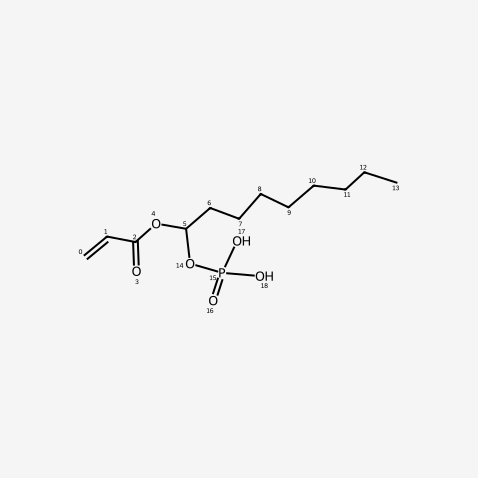 C=CC(=O)OC(CCCCCCCC)OP(=O)(O)O